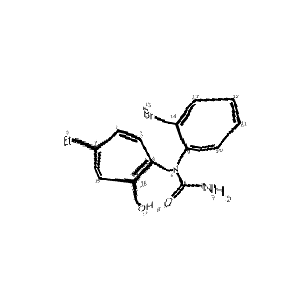 CCc1ccc(N(C(N)=O)c2ccccc2Br)c(O)c1